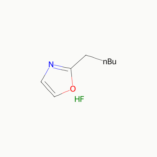 CCCCCc1ncco1.F